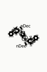 CCCCCCCCCCCCN(C1CC(C)(C)N(OC2CCCCC2)C(C)(C)C1)P1OCC2(CO1)COP(N(CCCCCCCCCCCC)C1CC(C)(C)N(OC3CCCCC3)C(C)(C)C1)OC2